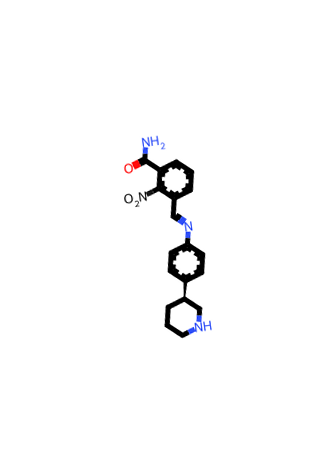 NC(=O)c1cccc(/C=N/c2ccc([C@@H]3CCCNC3)cc2)c1[N+](=O)[O-]